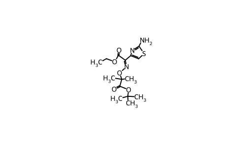 CCOC(=O)C(=NOC(C)(C)C(=O)OC(C)(C)C)c1csc(N)n1